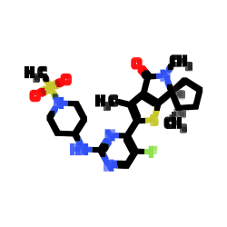 Cc1c(-c2nc(NC3CCN(S(C)(=O)=O)CC3)ncc2F)sc2c1C(=O)N(C)[C@@]21CCC[C@@H]1C